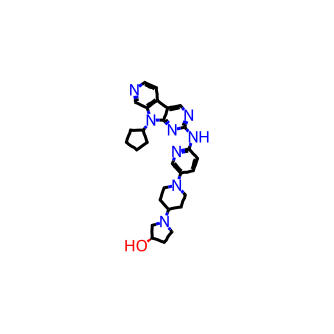 O[C@@H]1CCN(C2CCN(c3ccc(Nc4ncc5c6ccncc6n(C6CCCC6)c5n4)nc3)CC2)C1